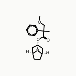 COCC(C)(C(=O)O[C@@H]1C[C@H]2CC[C@@H](C1)N2C)c1ccccc1